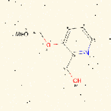 COCOc1cccnc1CO